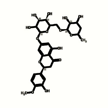 COc1ccc([C@@H]2CC(=O)c3c(O)cc(O[C@@H]4OC(CO[C@@H]5OC(C)CC(O)[C@@H]5O)[C@@H](O)[C@@H](O)C4O)cc3O2)cc1O